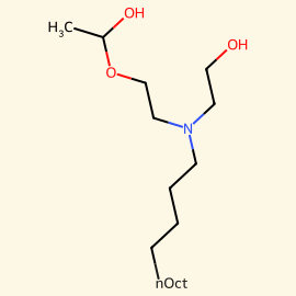 CCCCCCCCCCCCN(CCO)CCOC(C)O